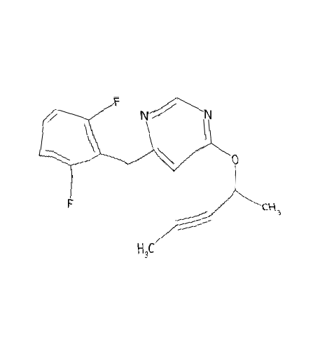 CC#CC(C)Oc1cc(Cc2c(F)cccc2F)ncn1